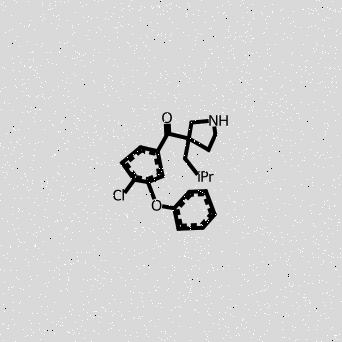 CC(C)CC1(C(=O)c2ccc(Cl)c(Oc3ccccc3)c2)CCNC1